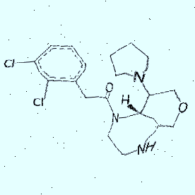 O=C(Cc1cccc(Cl)c1Cl)N1CCNC2COCC(N3CCCC3)[C@H]21